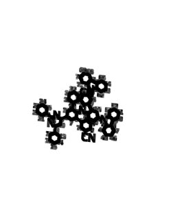 N#Cc1cccc(-c2cc(-c3cc(-c4ccccc4)nc(-c4ccccc4)n3)cc(-c3cccc(C#N)c3)c2-n2c3ccc(-n4c5ccccc5c5ccccc54)cc3c3cc(-n4c5ccccc5c5ccccc54)ccc32)c1